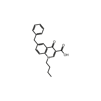 CCCCn1cc(C(=O)O)c(=O)c2cc(Cc3ccccc3)ccc21